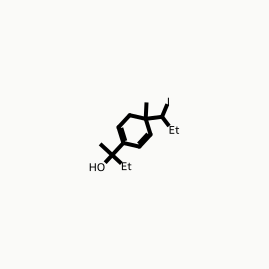 CCC(I)C1(C)C=CC(C(C)(O)CC)=CC1